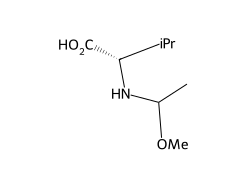 COC(C)N[C@H](C(=O)O)C(C)C